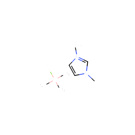 CCCC[n+]1ccn(C)c1.N#C[B-](F)(C#N)C#N